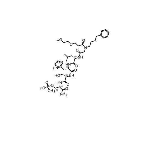 COCCOCCC(=O)N(CCCCc1ccccc1)CC(=O)N[C@@H](CC(C)C)C(=O)N[C@@H](Cc1ncc[nH]1)C(=O)N[C@@H](CO)C(=O)N[C@H](C(N)=O)[C@@H](C)OP(=O)(O)O